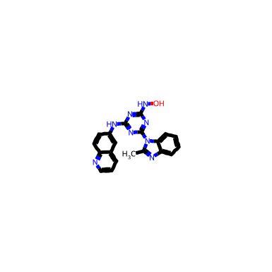 Cc1nc2ccccc2n1-c1nc(NO)nc(Nc2ccc3ncccc3c2)n1